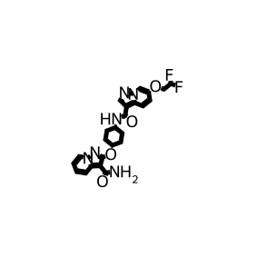 NC(=O)c1c(O[C@H]2CC[C@H](NC(=O)c3cnn4cc(OCC(F)F)ccc34)CC2)nn2ccccc12